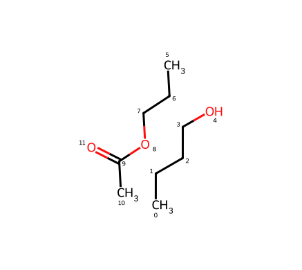 CCCCO.CCCOC(C)=O